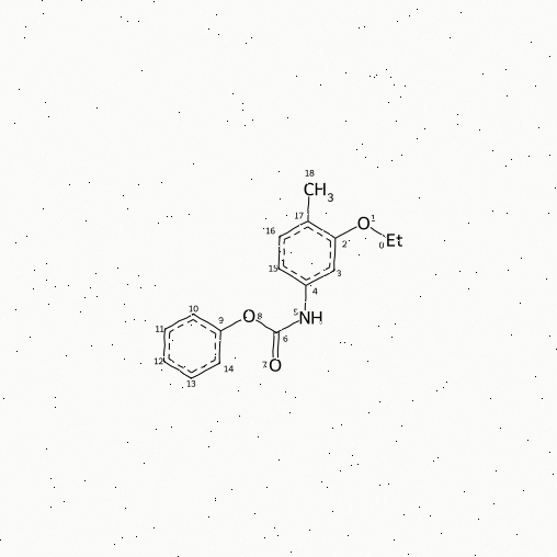 CCOc1cc(NC(=O)Oc2ccccc2)ccc1C